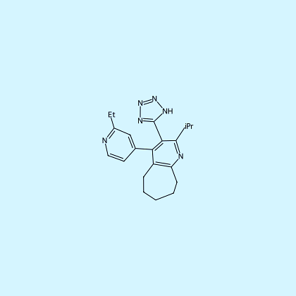 CCc1cc(-c2c3c(nc(C(C)C)c2-c2nnn[nH]2)CCCCC3)ccn1